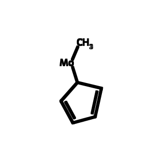 [CH3][Mo][CH]1C=CC=C1